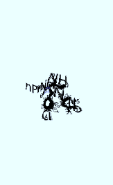 C=C1C(=N)/C(=C(/C)NCCC)C(c2ccc(Cl)cc2)N1c1cc(C)c(=O)n(C)c1